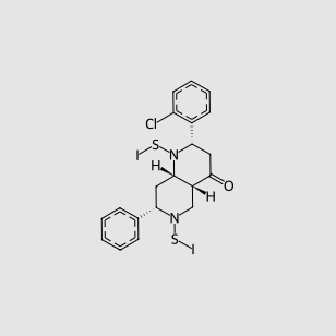 O=C1C[C@@H](c2ccccc2Cl)N(SI)[C@H]2C[C@@H](c3ccccc3)N(SI)C[C@@H]12